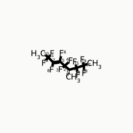 C[C@H](C(F)(F)/C(F)=C(\F)C(C)(F)F)C(F)(F)C(C)(F)F